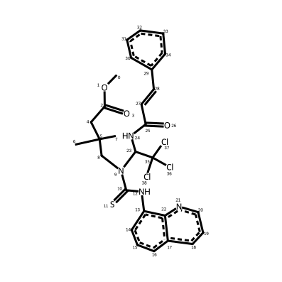 COC(=O)CC(C)(C)CN(C(=S)Nc1cccc2cccnc12)C(NC(=O)/C=C/c1ccccc1)C(Cl)(Cl)Cl